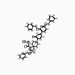 CC(C)(C)OC(=O)CC1(OP(C)(=O)OCc2ccccc2)CCN(c2ccc(-c3ccc(OCc4ccccc4)nc3OCc3ccccc3)cc2F)CC1